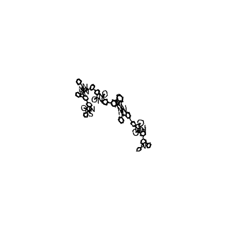 O=C1c2cc(-c3ccc4nc(-n5c6ccccc6c6cc(-c7ccc8nc9n(c(=O)c8c7)-c7ccc(-c8cccc(-c%10nc(-c%11ccccc%11)nc(-n%11c%12ccccc%12c%12cc(-c%13ccc%14nc%15sc%16ccccc%16n%15c(=O)c%14c%13)ccc%12%11)n%10)c8)cc7C9=O)ccc65)nc(-c5ccccc5)c4c3)ccc2-n2c1nc1ccc(-c3ccc4c(c3)c3ccccc3n4-c3ccccc3)cc1c2=O